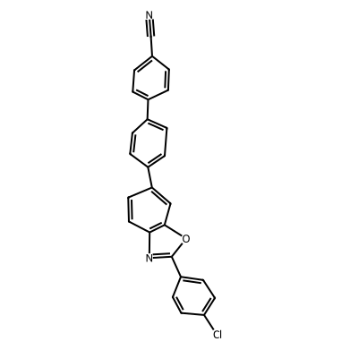 N#Cc1ccc(-c2ccc(-c3ccc4nc(-c5ccc(Cl)cc5)oc4c3)cc2)cc1